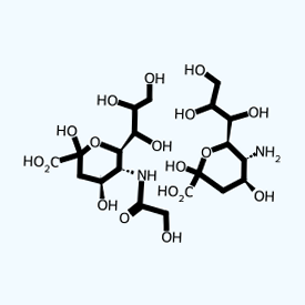 N[C@@H]1[C@@H](O)CC(O)(C(=O)O)O[C@H]1C(O)C(O)CO.O=C(CO)N[C@@H]1[C@@H](O)CC(O)(C(=O)O)O[C@H]1C(O)C(O)CO